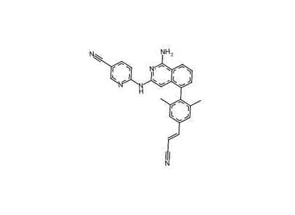 Cc1cc(C=CC#N)cc(C)c1-c1cccc2c(N)nc(Nc3ccc(C#N)cn3)cc12